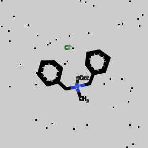 CCCCCCCC[N+](C)(Cc1ccccc1)Cc1ccccc1.[Cl-]